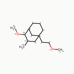 COCCC12CCCC(C1)C(OC)C(C)C2